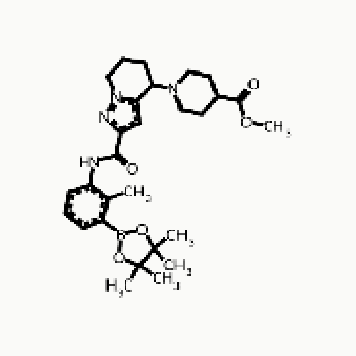 COC(=O)C1CCN(C2CCCn3nc(C(=O)Nc4cccc(B5OC(C)(C)C(C)(C)O5)c4C)cc32)CC1